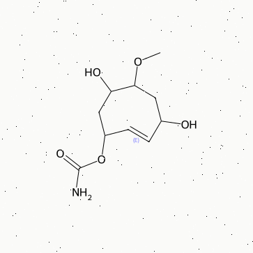 COC1CC(O)/C=C/C(OC(N)=O)CC1O